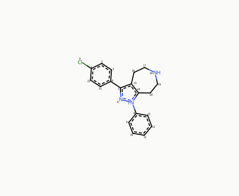 Clc1ccc(-c2nn(-c3ccccc3)c3c2CCNCC3)cc1